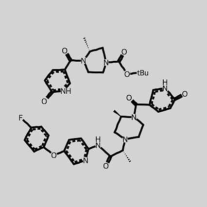 C[C@@H]1CN(C(=O)OC(C)(C)C)CCN1C(=O)c1ccc(=O)[nH]c1.C[C@H](C(=O)Nc1ccc(Oc2ccc(F)cc2)cn1)N1CCN(C(=O)c2ccc(=O)[nH]c2)[C@H](C)C1